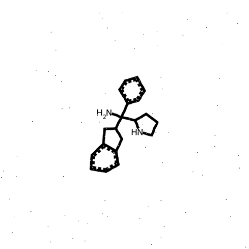 NC(c1ccccc1)(C1Cc2ccccc2C1)C1CCCN1